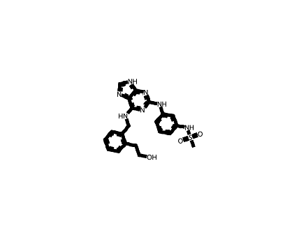 CS(=O)(=O)Nc1cccc(Nc2nc(NCc3ccccc3CCO)c3nc[nH]c3n2)c1